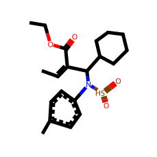 CC=C(C(=O)OCC)C(C1CCCCC1)N(c1ccc(C)cc1)[SH](=O)=O